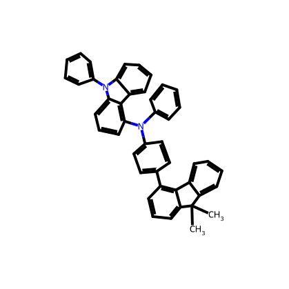 CC1(C)c2ccccc2-c2c(-c3ccc(N(c4ccccc4)c4cccc5c4c4ccccc4n5-c4ccccc4)cc3)cccc21